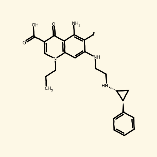 CCCn1cc(C(=O)O)c(=O)c2c(N)c(F)c(NCCN[C@@H]3C[C@H]3c3ccccc3)cc21